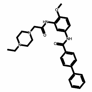 CCN1CCN(CC(=O)Nc2cc(NC(=O)c3ccc(-c4ccccc4)cc3)ccc2OC)CC1